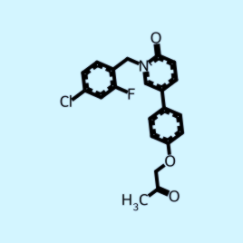 CC(=O)COc1ccc(-c2ccc(=O)n(Cc3ccc(Cl)cc3F)c2)cc1